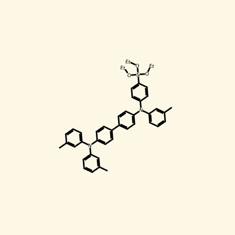 CCO[Si](OCC)(OCC)c1ccc(N(c2ccc(-c3ccc(N(c4cccc(C)c4)c4cccc(C)c4)cc3)cc2)c2cccc(C)c2)cc1